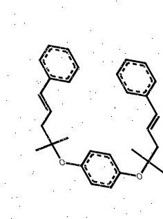 CC(C)(CC=Cc1ccccc1)Oc1ccc(OC(C)(C)CC=Cc2ccccc2)cc1